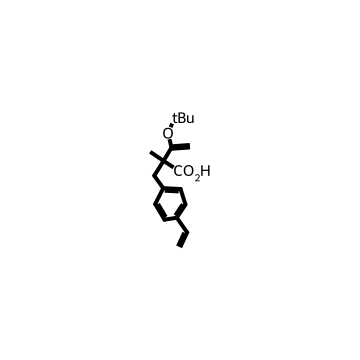 C=Cc1ccc(CC(C)(C(=C)OC(C)(C)C)C(=O)O)cc1